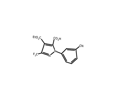 CCOC(=O)c1c(C(F)(F)F)nn(-c2cccc(C#N)c2)c1C(=O)O